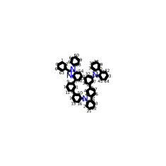 c1ccc(-c2nc3c(-c4cccc(-c5cccc(-n6c7ccccc7c7ccc(-c8cccc(-n9c%10ccccc%10c%10ccccc%109)c8)cc76)c5)c4)cccc3n2-c2ccccc2)cc1